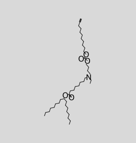 C#CCCCCCCCCCOC(=O)OCCCCN(CC)CCCCCCCC(=O)OC(CCCCCCCC)CCCCCCCC